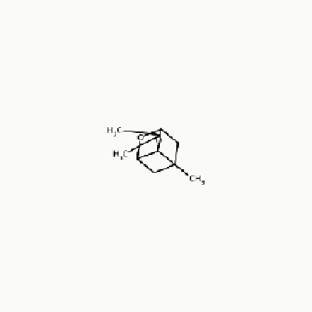 CC12CC3OC(C1)C2C(C)(C)O3